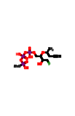 B[C@@H](CC#C)O[C@H](COP(=O)(O)OP(=O)(O)OP(=O)(O)OC)C(O)CF